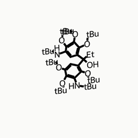 CCC(O)(c1cc(OC(C)(C)C)c(OC(C)(C)C)c(NC(C)(C)C)c1OC(C)(C)C)c1cc(NC(C)(C)C)c(OC(C)(C)C)c(OC(C)(C)C)c1OC(C)(C)C